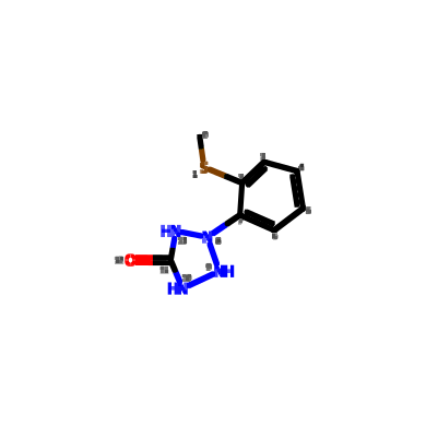 CSc1ccccc1N1NNC(=O)N1